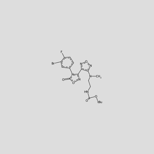 CN(CCNC(=O)OC(C)(C)C)c1nonc1-c1noc(=O)n1-c1ccc(F)c(Br)c1